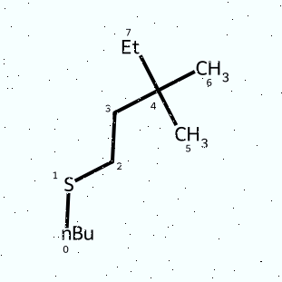 CCCCSCCC(C)(C)CC